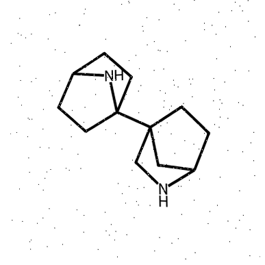 C1CC2(C34CCC(CC3)N4)CNC1C2